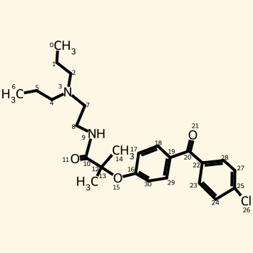 CCCN(CCC)CCNC(=O)C(C)(C)Oc1ccc(C(=O)c2ccc(Cl)cc2)cc1